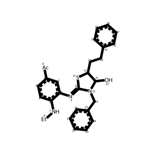 CCNc1ccc(C(C)=O)cc1/N=C1\SC(CCc2ccccc2)C(O)N1Cc1ccccc1